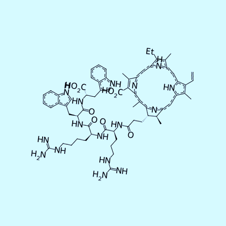 C=Cc1c(C)c2cc3nc(c(C)c4nc(cc5[nH]c(cc1[nH]2)c(C)c5CC)C(C)=C4C(=O)O)[C@@H](CCC(=O)N[C@@H](CCCNC(=N)N)C(=O)N[C@@H](CCCCNC(=N)N)C(=O)N[C@@H](Cc1c[nH]c2ccccc12)C(=O)N[C@@H](Cc1c[nH]c2ccccc12)C(=O)O)[C@@H]3C